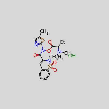 CCC(C(=O)ON(C(=O)C1=Cc2ccccc2S(=O)(=O)N1C)c1ncc(C)s1)N(C)C.Cl